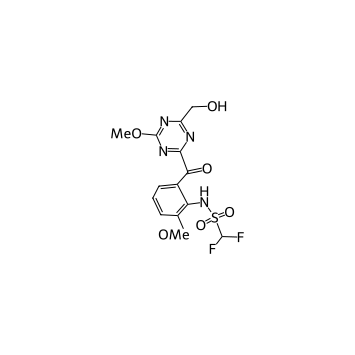 COc1nc(CO)nc(C(=O)c2cccc(OC)c2NS(=O)(=O)C(F)F)n1